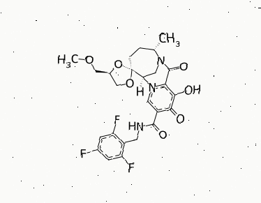 COC[C@@H]1CO[C@@]2(CC[C@H](C)N3C[C@H]2n2cc(C(=O)NCc4c(F)cc(F)cc4F)c(=O)c(O)c2C3=O)O1